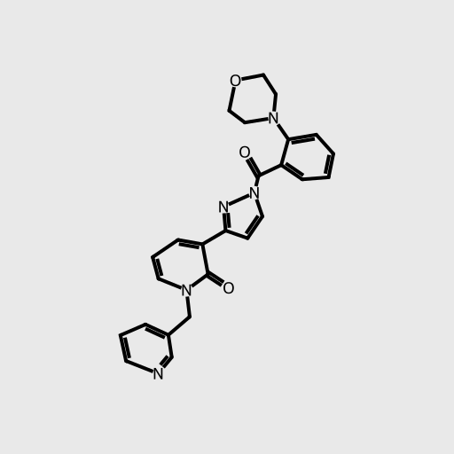 O=C(c1ccccc1N1CCOCC1)n1ccc(-c2cccn(Cc3cccnc3)c2=O)n1